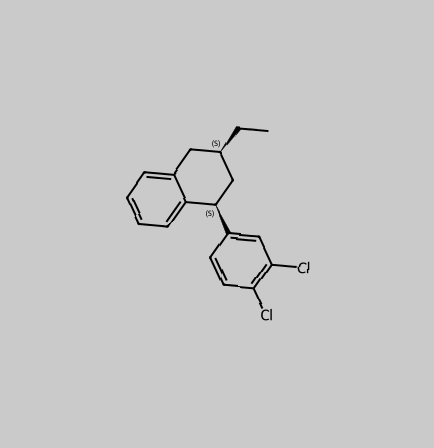 CC[C@@H]1Cc2ccccc2[C@H](c2ccc(Cl)c(Cl)c2)C1